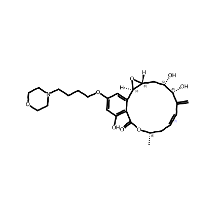 C=C1/C=C\C[C@H](C)OC(=O)c2c(O)cc(OCCCCN3CCOCC3)cc2[C@H]2O[C@@H]2C[C@H](O)[C@@H]1O